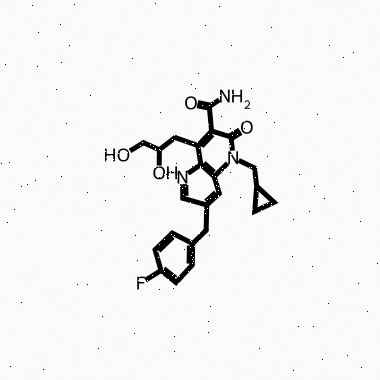 NC(=O)c1c(CC(O)CO)c2ncc(Cc3ccc(F)cc3)cc2n(CC2CC2)c1=O